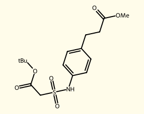 COC(=O)CCc1ccc(NS(=O)(=O)CC(=O)OC(C)(C)C)cc1